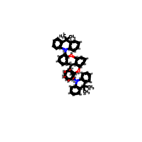 CC1(C)c2ccccc2N(c2cccc3c2Oc2cccc4c2[Si]3(c2ccccc2)c2cccc(N3c5ccccc5C(C)(C)c5ccccc53)c2O4)c2ccccc21